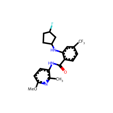 COc1ccc(NC(=O)c2ccc(C(F)(F)F)cc2NC2CCC(F)C2)c(C)n1